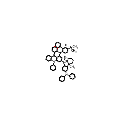 CC(C)(C)c1ccc(N2c3ccccc3B3c4ccccc4N(c4ccccc4)c4cc(N5c6ccc(N(c7ccccc7)c7ccccc7)cc6C6(C)CCCCC56C)cc2c43)c(-c2ccccc2)c1